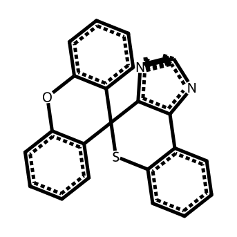 c1ccc2c(c1)Oc1ccccc1C21Sc2ccccc2-c2nc3ccccn3c21